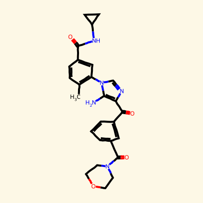 Cc1ccc(C(=O)NC2CC2)cc1-n1cnc(C(=O)c2cccc(C(=O)N3CCOCC3)c2)c1N